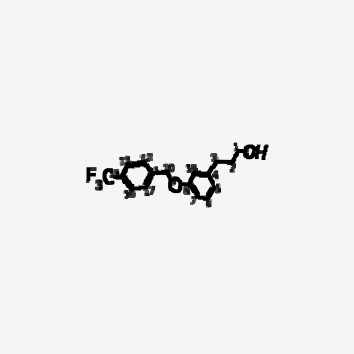 OCCCc1cccc(OCc2ccc(C(F)(F)F)cc2)c1